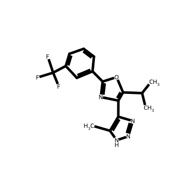 Cc1[nH]nnc1-c1nc(-c2cccc(C(F)(F)F)c2)oc1C(C)C